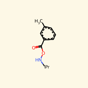 Cc1cccc(C(=O)ONC(C)C)c1